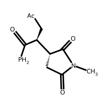 CC(=O)C[C@H](C(=O)P)[C@H]1CC(=O)N(C)C1=O